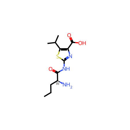 CCC[C@H](N)C(=O)Nc1nc(C(=O)O)c(C(C)C)s1